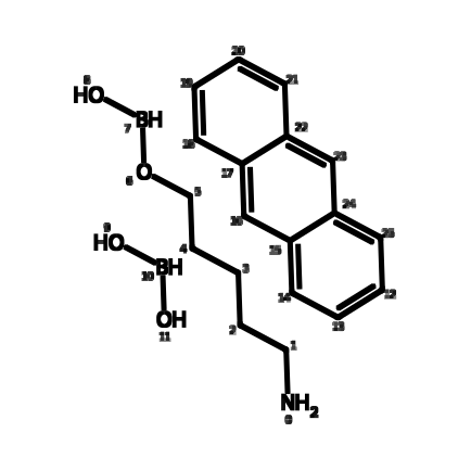 NCCCCCOBO.OBO.c1ccc2cc3ccccc3cc2c1